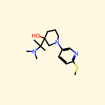 CSc1ccc(N2CCCC(O)(C(C)(C)N(C)C)C2)cn1